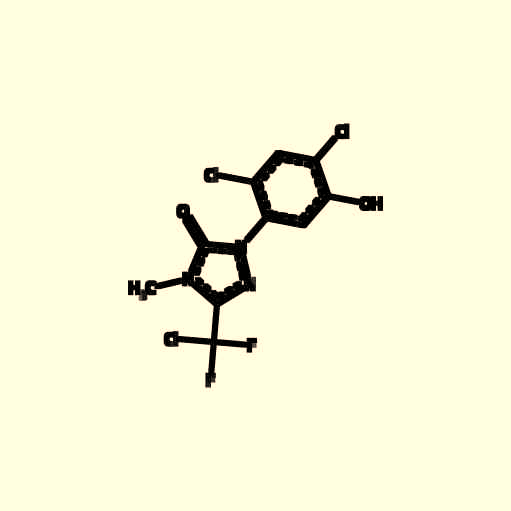 Cn1c(C(F)(F)Cl)nn(-c2cc(O)c(Cl)cc2Cl)c1=O